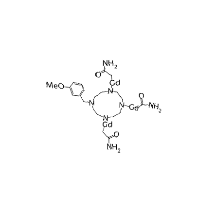 COc1cccc(CN2CC[N]([Gd][CH2]C(N)=O)CC[N]([Gd][CH2]C(N)=O)CC[N]([Gd][CH2]C(N)=O)CC2)c1